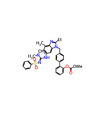 CCc1nc2c(C)cc(NC(=NS(=O)(=O)c3ccccc3)N(C)C)cc2n1Cc1ccc(-c2ccccc2OC(=O)OC)cc1